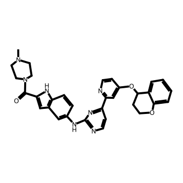 CN1CCN(C(=O)c2cc3cc(Nc4nccc(-c5cc(OC6CCOc7ccccc76)ccn5)n4)ccc3[nH]2)CC1